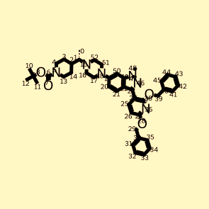 C[C@@H](C1CCN(C(=O)OC(C)(C)C)CC1)N1CCN(c2ccc3c(-c4ccc(OCc5ccccc5)nc4OCc4ccccc4)nn(C)c3c2)CC1